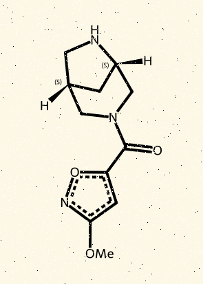 COc1cc(C(=O)N2C[C@@H]3CN[C@@H](C3)C2)on1